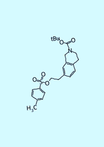 Cc1ccc(S(=O)(=O)OCCc2ccc3c(c2)CN(C(=O)OC(C)(C)C)CC3)cc1